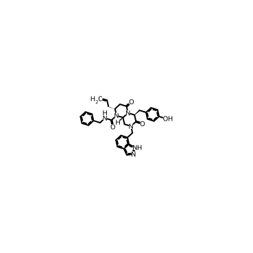 C=CC[C@@H]1CC(=O)N2[C@H](CN(Cc3cccc4cn[nH]c34)C(=O)[C@@H]2Cc2ccc(O)cc2)N1C(=O)NCc1ccccc1